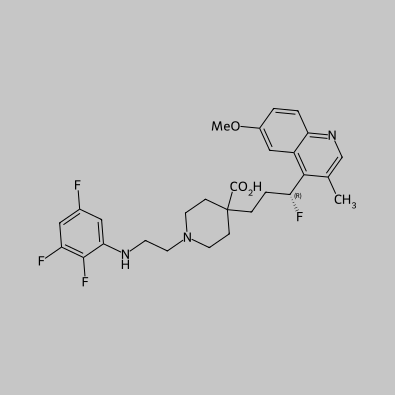 COc1ccc2ncc(C)c([C@H](F)CCC3(C(=O)O)CCN(CCNc4cc(F)cc(F)c4F)CC3)c2c1